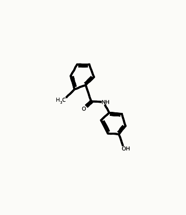 Cc1ccccc1C(=O)Nc1ccc(O)cc1